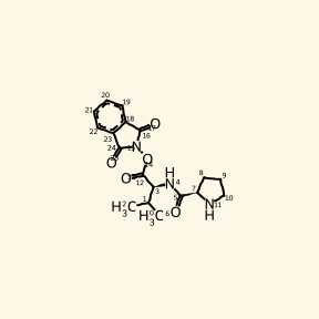 CC(C)[C@H](NC(=O)[C@H]1CCCN1)C(=O)ON1C(=O)c2ccccc2C1=O